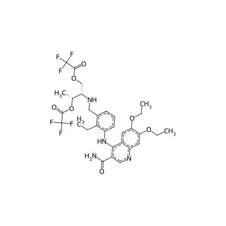 CCOc1cc2ncc(C(N)=O)c(Nc3cccc(CN[C@@H](COC(=O)C(F)(F)F)[C@@H](C)OC(=O)C(F)(F)F)c3CC)c2cc1OCC